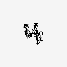 CCN(CC)C(C)CNC(=O)c1cc(-c2cnn3ccc(-c4cccs4)nc23)nc(N2CC(C)(C)C2)c1